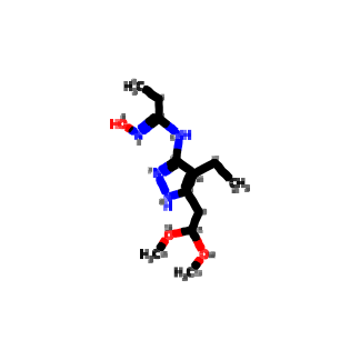 CCC(=NO)Nc1n[nH]c(CC(OC)OC)c1CC